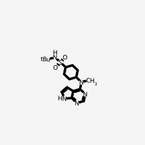 CN(c1ncnc2[nH]ccc12)C1CCC(S(=O)(=O)NC(C)(C)C)CC1